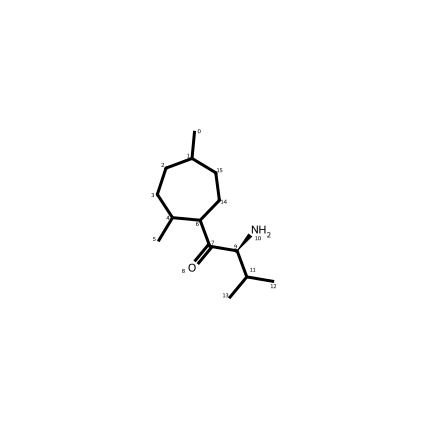 CC1CCC(C)C(C(=O)[C@@H](N)C(C)C)CC1